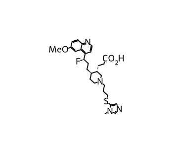 COc1ccc2nccc([C@H](F)CC[C@@H]3CCN(CCCSc4cncn4C)C[C@H]3CCC(=O)O)c2c1